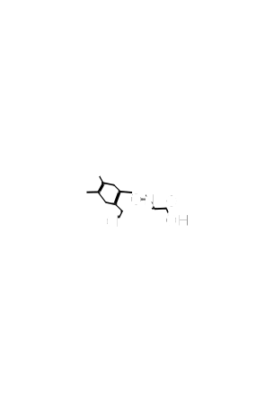 CC1=C(C)CC(CON=CC(=O)O)=C(CCl)C1